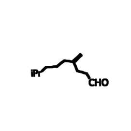 C=C(CCCC(C)C)CC[13CH]=O